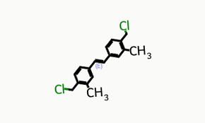 Cc1cc(/C=C/c2ccc(CCl)c(C)c2)ccc1CCl